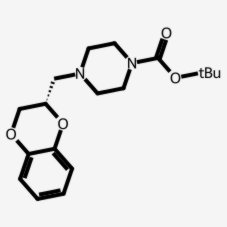 CC(C)(C)OC(=O)N1CCN(C[C@H]2COc3ccccc3O2)CC1